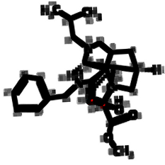 COC(=O)CC[C@@H]1[C@H]2CC3CN(CC(C)C)[C@@H]1[C@@]3(C(=O)NCc1ccccc1)N(C(=O)O)C2